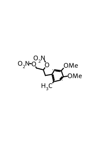 COc1[c]c(C)c(CC(CO[N+](=O)[O-])O[N+](=O)[O-])[c]c1OC